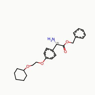 N[C@H](C(=O)OCc1ccccc1)c1ccc(OCCOC2CCCCC2)cc1